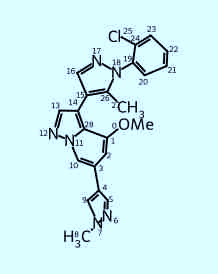 COc1cc(-c2cnn(C)c2)cn2ncc(-c3cnn(-c4ccccc4Cl)c3C)c12